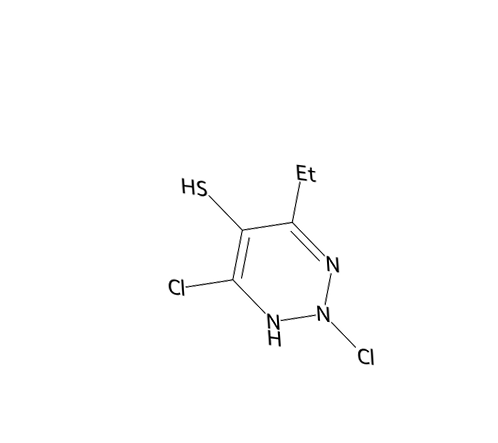 CCC1=NN(Cl)NC(Cl)=C1S